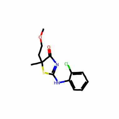 COCCC1(C)SC(Nc2ccccc2Cl)=NC1=O